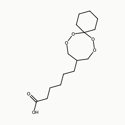 O=C(O)CCCCCC1COOC2(CCCCC2)OOC1